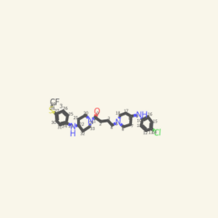 O=C(CCCN1CCC(Nc2ccc(Cl)cc2)CC1)N1CCC(Nc2ccc(SC(F)(F)F)cc2)CC1